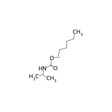 CCCCC[CH]OC(=O)NC(C)C